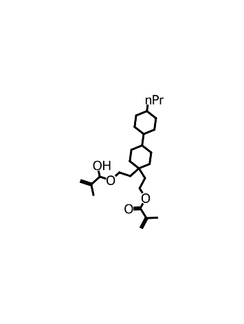 C=C(C)C(=O)OCCC1(CCOC(O)C(=C)C)CCC(C2CCC(CCC)CC2)CC1